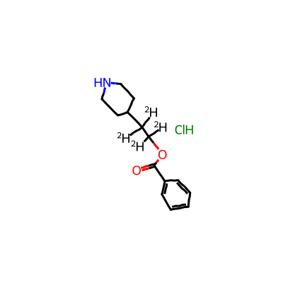 Cl.[2H]C([2H])(OC(=O)c1ccccc1)C([2H])([2H])C1CCNCC1